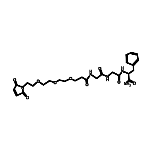 NC(=O)C(Cc1ccccc1)NC(=O)CNC(=O)CNC(=O)CCOCCOCCOCCN1C(=O)C=CC1=O